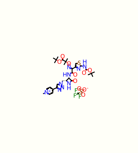 C[n+]1ccc(-c2cn(C[C@H]3NC(=O)[C@H]3NC(=O)C(=NOC(C)(C)C(=O)OC(C)(C)C)c3csc(NC(=O)OC(C)(C)C)n3)nn2)cc1.O=S(=O)([O-])C(F)(F)F